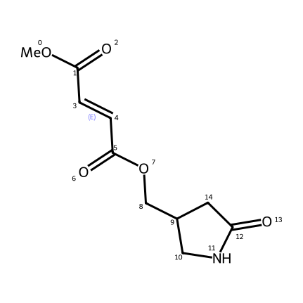 COC(=O)/C=C/C(=O)OCC1CNC(=O)C1